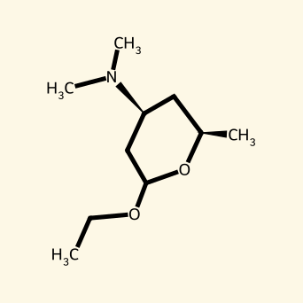 CCOC1C[C@@H](N(C)C)C[C@@H](C)O1